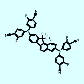 CC1(C)c2cc(N(c3ccc(C#N)c(F)c3)c3ccc(C#N)c(F)c3)ccc2-c2ccc3cc(N(c4ccc(C#N)c(F)c4)c4ccc(C#N)c(F)c4)ccc3c21